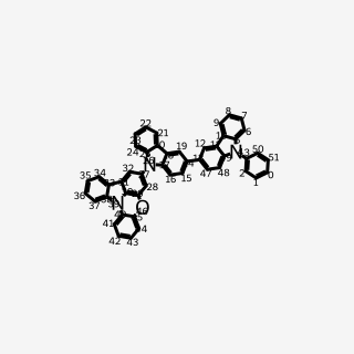 c1ccc(-n2c3ccccc3c3cc(-c4ccc5c(c4)c4ccccc4n5-c4cc5c6c(c4)c4ccccc4n6-c4ccccc4O5)ccc32)cc1